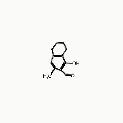 Cc1cc2c(c(O)c1C=O)CCCC2